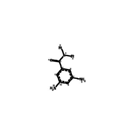 CCN(CC)C(=O)c1cc(N)cc(N)c1